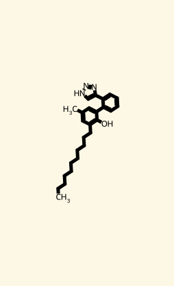 CCCCCCCCCCCc1cc(C)cc(-c2ccccc2-c2c[nH]nn2)c1O